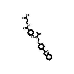 CC(C)[C@@H](COc1ccc(-c2nc3ccccc3s2)cc1)Nc1ccc(C(=O)NCCC(=O)O)cc1